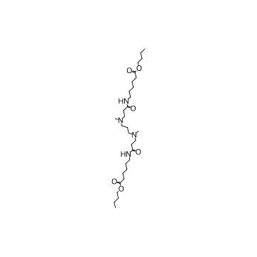 CCCCOC(=O)CCCCCNC(=O)CCN(C)CCCN(C)CCC(=O)NCCCCCC(=O)OCCCC